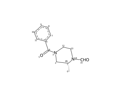 C[C@@H]1CN(C(=O)c2ccccc2)CCN1C=O